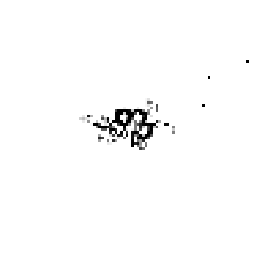 C#CCS(=O)(=O)c1ccc(C=C(C)C2=NNC(=O)CC2C)cc1OC